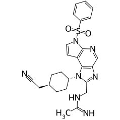 CC(=N)NCc1nc2cnc3c(ccn3S(=O)(=O)c3ccccc3)c2n1[C@H]1CC[C@H](CC#N)CC1